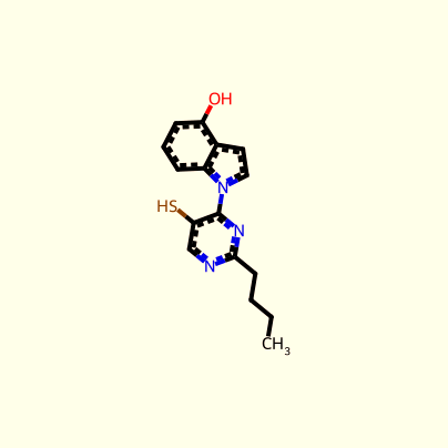 CCCCc1ncc(S)c(-n2ccc3c(O)cccc32)n1